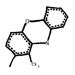 Cc1ccc2c(c1C(F)(F)F)[N]c1ccccc1O2